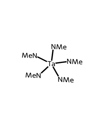 C[NH][Ta]([NH]C)([NH]C)([NH]C)[NH]C